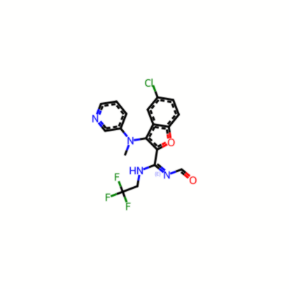 CN(c1cccnc1)c1c(/C(=N\C=O)NCC(F)(F)F)oc2ccc(Cl)cc12